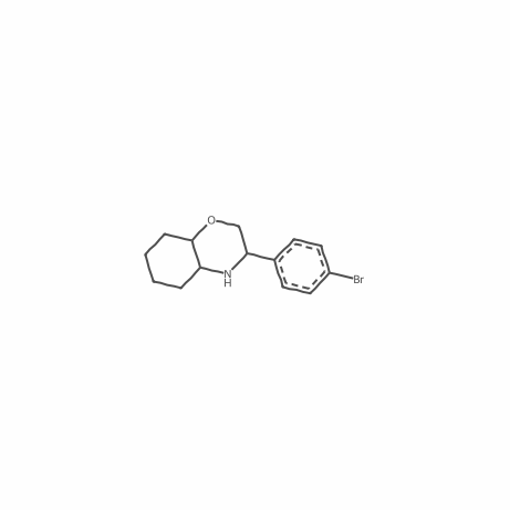 Brc1ccc(C2COC3CCCCC3N2)cc1